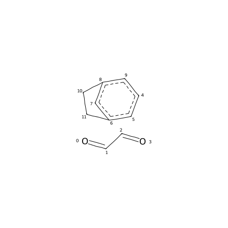 O=CC=O.c1cc2cc(c1)CC2